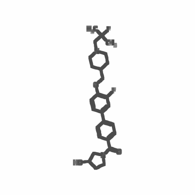 CC(C)(F)CN1CCC(COc2ccc(-c3ccc(C(=O)N4CCC(O)C4)cc3)cc2F)CC1